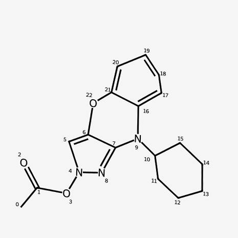 CC(=O)On1cc2c(n1)N(C1CCCCC1)c1ccccc1O2